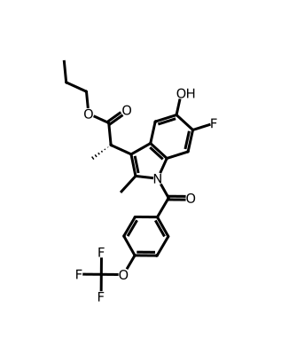 CCCOC(=O)[C@@H](C)c1c(C)n(C(=O)c2ccc(OC(F)(F)F)cc2)c2cc(F)c(O)cc12